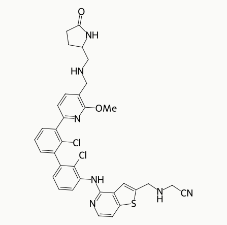 COc1nc(-c2cccc(-c3cccc(Nc4nccc5sc(CNCC#N)cc45)c3Cl)c2Cl)ccc1CNCC1CCC(=O)N1